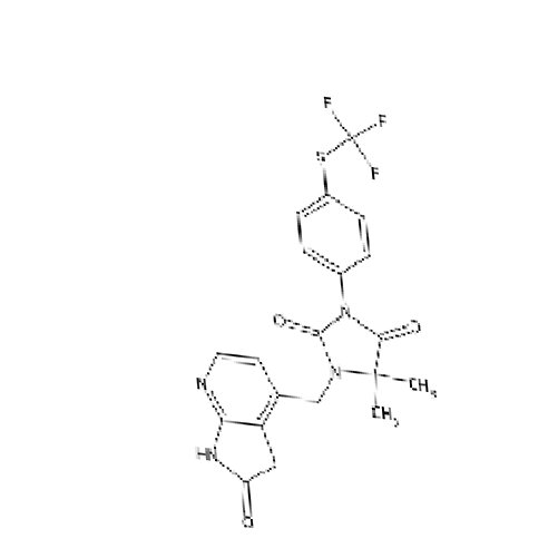 CC1(C)C(=O)N(c2ccc(SC(F)(F)F)cc2)C(=O)N1Cc1ccnc2c1CC(=O)N2